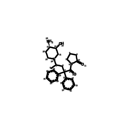 CC(CC(C(=O)N1CCCC1=O)(c1ccccc1)c1ccccc1)N1CC[C@H](N)[C@@H](O)C1